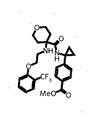 COC(=O)c1ccc(C2(NC(=O)C3(NCCOc4ccccc4C(F)(F)F)CCOCC3)CC2)cc1